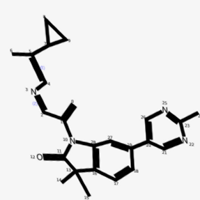 C=C(/C=N\C=C(/C)C1CC1)N1C(=O)C(C)(C)c2ccc(-c3cnc(C)nc3)cc21